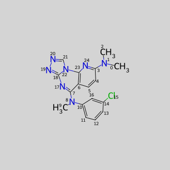 CN(C)c1ccc2c(N(C)c3cccc(Cl)c3)nc3nncn3c2n1